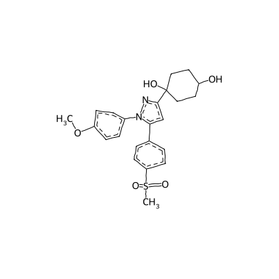 COc1ccc(-n2nc(C3(O)CCC(O)CC3)cc2-c2ccc(S(C)(=O)=O)cc2)cc1